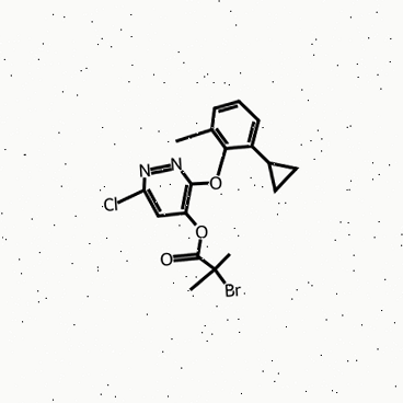 Cc1cccc(C2CC2)c1Oc1nnc(Cl)cc1OC(=O)C(C)(C)Br